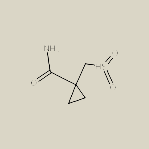 NC(=O)C1(C[SH](=O)=O)CC1